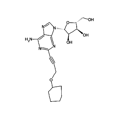 Nc1nc(C#CCOC2CCCCC2)nc2c1ncn2[C@@H]1O[C@H](CO)[C@@H](O)[C@H]1O